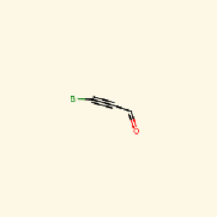 O=[C]C#CBr